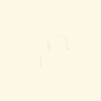 [CH2]C(C(=O)O)c1cccc(Br)c1